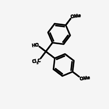 COc1ccc(C(O)(c2ccc(OC)cc2)C(Cl)(Cl)Cl)cc1